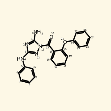 Nc1nc(Nc2ccccc2)nn1C(=O)c1ccccc1Oc1ccccc1